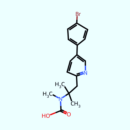 CN(C(=O)O)C(C)(C)Cc1ccc(-c2ccc(Br)cc2)cn1